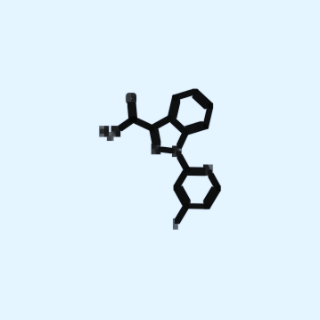 NC(=O)c1nn(-c2cc(I)ccn2)c2ccccc12